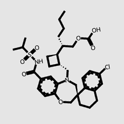 CCCC[C@H](COC(=O)O)[C@@H]1CC[C@H]1CN1C[C@@]2(CCCc3cc(Cl)ccc32)COc2ccc(C(=O)NS(=O)(=O)C(C)C)cc21